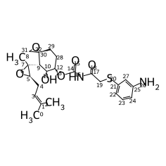 CC(C)=CC[C@H]1OC1(C)[C@H]1[C@H](O)[C@H](OC(=O)NC(=O)CSc2cccc(N)c2)CC[C@]12CO2